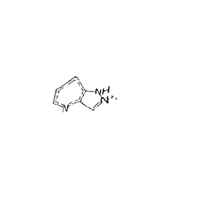 C1=[N+]Nc2cccnc21